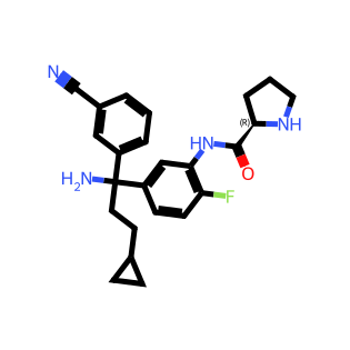 N#Cc1cccc(C(N)(CCC2CC2)c2ccc(F)c(NC(=O)[C@H]3CCCN3)c2)c1